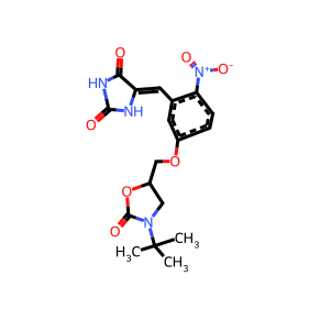 CC(C)(C)N1CC(COc2ccc([N+](=O)[O-])c(C=C3NC(=O)NC3=O)c2)OC1=O